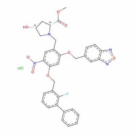 COC(=O)[C@H]1C[C@@H](O)CN1Cc1cc([N+](=O)[O-])c(OCc2cccc(-c3ccccc3)c2F)cc1OCc1ccc2nonc2c1.Cl